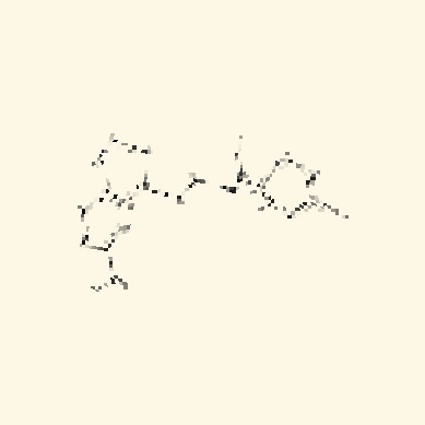 COc1ccc2cccc(CCNC(=O)c3ccc(F)cc3)c2c1